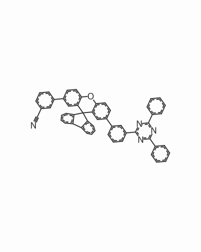 N#Cc1cccc(-c2ccc3c(c2)C2(c4cc(-c5cccc(-c6nc(-c7ccccc7)nc(-c7ccccc7)n6)c5)ccc4O3)c3ccccc3-c3ccccc32)c1